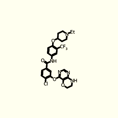 CCN1CCC(Oc2ccc(NC(=O)c3ccc(Cl)c(Oc4ncnc5c4OCCN5)c3)cc2C(F)(F)F)CC1